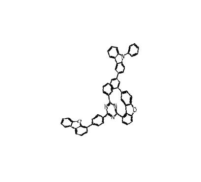 c1ccc(-c2nc(-c3ccc(-c4cccc5c4oc4ccccc45)cc3)nc(-c3cccc4oc5ccc(-c6cccc(-c7ccc8c(c7)c7ccccc7n8-c7ccccc7)c6)cc5c34)n2)cc1